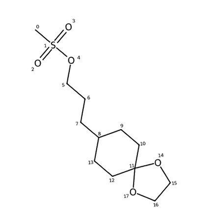 CS(=O)(=O)OCCCC1CCC2(CC1)OCCO2